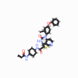 C=CC(=O)NC1CCC(NC(=O)c2sc3nccc4c3c2NC(=O)N4c2ccc(Oc3ccccc3)cc2C)CC1